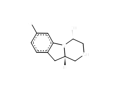 C[C@@H]1CNC[C@@H]2Cc3ccc(Cl)cc3N21